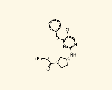 CC(C)(C)OC(=O)N1CC[C@@H](Nc2ncc(Cl)c(Oc3ccccc3)n2)C1